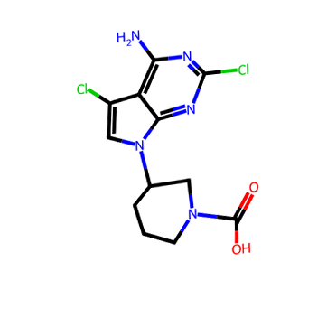 Nc1nc(Cl)nc2c1c(Cl)cn2C1CCCN(C(=O)O)C1